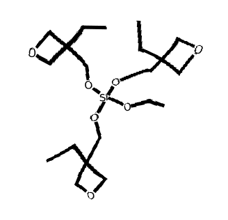 CCO[Si](OCC1(CC)COC1)(OCC1(CC)COC1)OCC1(CC)COC1